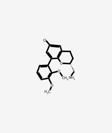 COc1cccc(-c2cc(Cl)cc3c2O[C@@H](CN)CC3)c1OC